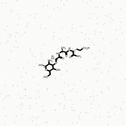 C[C@H](NC(=O)[C@@H](C)OC1C(O)C(CO)O[C@@H](O)C1N)C(=O)N[C@H](CCC(=O)O)C(N)=O